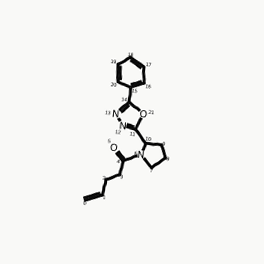 C=CCCC(=O)N1CCCC1c1nnc(-c2ccccc2)o1